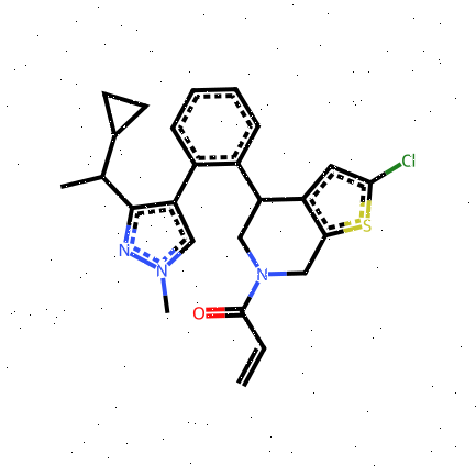 C=CC(=O)N1Cc2sc(Cl)cc2C(c2ccccc2-c2cn(C)nc2C(C)C2CC2)C1